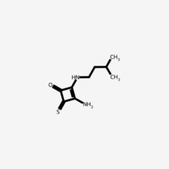 CC(C)CCNc1c(N)c(=S)c1=O